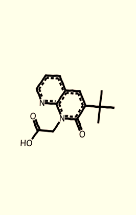 CC(C)(C)c1cc2cccnc2n(CC(=O)O)c1=O